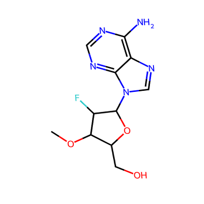 COC1C(CO)OC(n2cnc3c(N)ncnc32)C1F